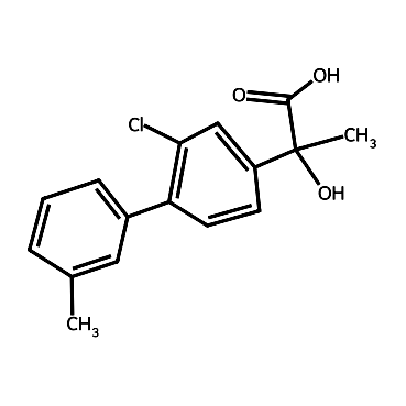 Cc1cccc(-c2ccc(C(C)(O)C(=O)O)cc2Cl)c1